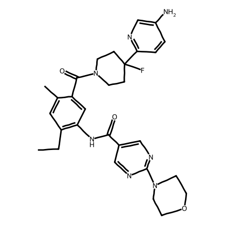 CCc1cc(C)c(C(=O)N2CCC(F)(c3ccc(N)cn3)CC2)cc1NC(=O)c1cnc(N2CCOCC2)nc1